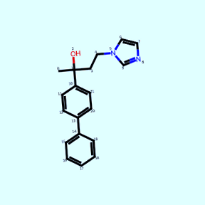 CC(O)(CCn1ccnc1)c1ccc(-c2ccccc2)cc1